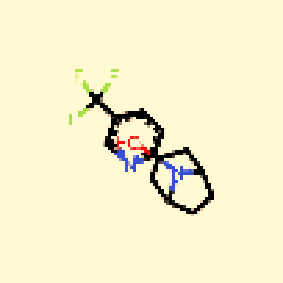 OC1CC2CCC(C1)N2c1ccc(C(F)(F)F)cn1